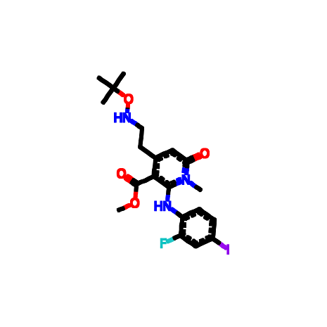 COC(=O)c1c(CCNOC(C)(C)C)cc(=O)n(C)c1Nc1ccc(I)cc1F